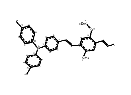 CC=Cc1cc(OC)c(C=Cc2ccc(N(c3ccc(C)cc3)c3ccc(C)cc3)cc2)cc1OCCCCCCCCCC